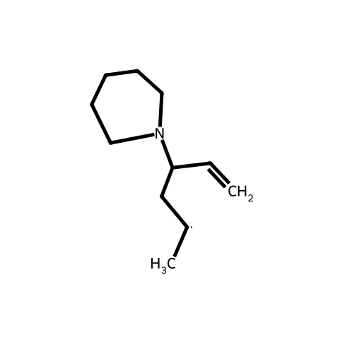 C=CC(C[CH]C)N1CCCCC1